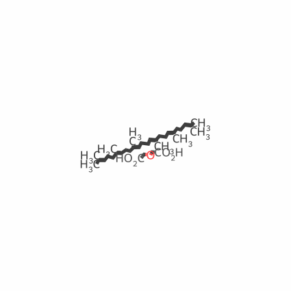 CC(C)=CCC/C(C)=C/CC/C(C)=C/CC/C=C(\C)CC/C=C(\C)CCC=C(C)C.O=C(O)COCC(=O)O